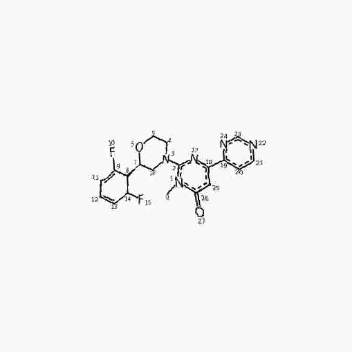 Cn1c(N2CCO[C@H](C3C(F)=CC=CC3F)C2)nc(-c2ccncn2)cc1=O